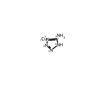 N.[Cu].c1nnn[nH]1